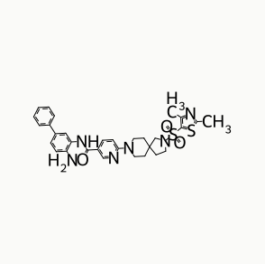 Cc1nc(C)c(S(=O)(=O)N2CCC3(CCN(c4ccc(C(=O)Nc5cc(-c6ccccc6)ccc5N)cn4)CC3)C2)s1